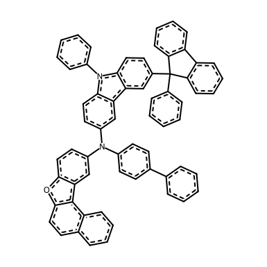 c1ccc(-c2ccc(N(c3ccc4oc5ccc6ccccc6c5c4c3)c3ccc4c(c3)c3cc(C5(c6ccccc6)c6ccccc6-c6ccccc65)ccc3n4-c3ccccc3)cc2)cc1